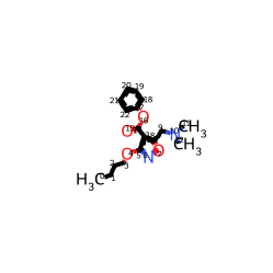 CCCCOc1noc(CN(C)C)c1C(=O)Oc1ccccc1